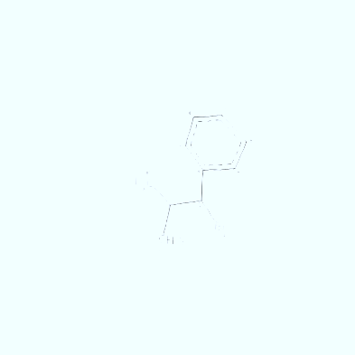 O=CC(C(Br)c1ccccc1)C(F)(F)F